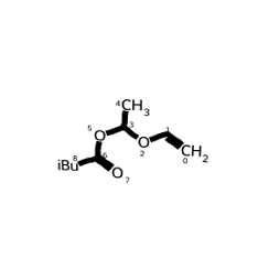 C=COC(C)OC(=O)C(C)CC